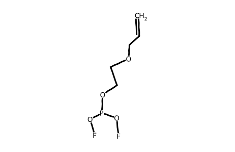 C=CCOCCOP(OF)OF